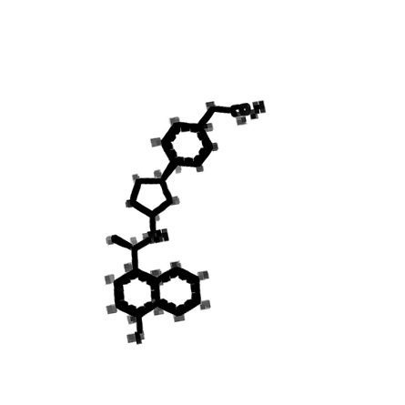 C[C@@H](NC1CC[C@@H](c2ccc(CC(=O)O)cc2)C1)c1ccc(F)c2ccccc12